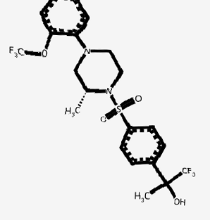 C[C@@H]1CN(c2ccccc2OC(F)(F)F)CCN1S(=O)(=O)c1ccc(C(C)(O)C(F)(F)F)cc1